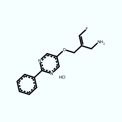 Cl.NCC(=CF)COc1cnc(-c2ccccc2)nc1